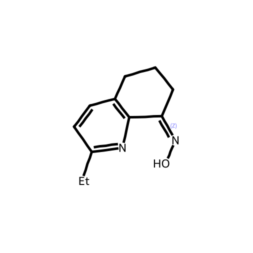 CCc1ccc2c(n1)/C(=N\O)CCC2